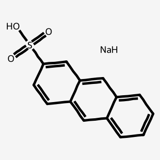 O=S(=O)(O)c1ccc2cc3ccccc3cc2c1.[NaH]